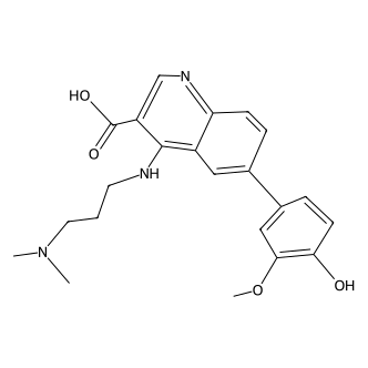 COc1cc(-c2ccc3ncc(C(=O)O)c(NCCCN(C)C)c3c2)ccc1O